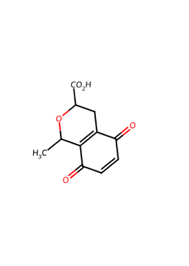 CC1OC(C(=O)O)CC2=C1C(=O)C=CC2=O